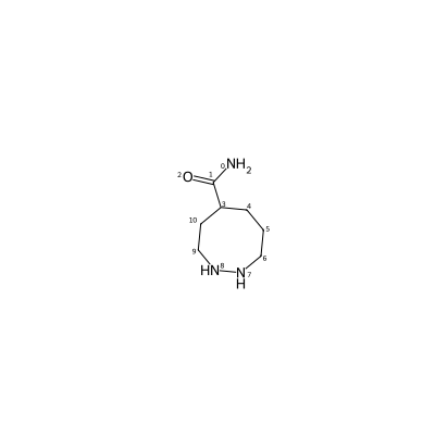 NC(=O)C1CCCNNCC1